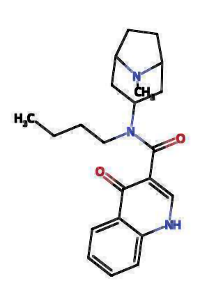 CCCCN(C(=O)c1c[nH]c2ccccc2c1=O)C1CC2CCC(C1)N2C